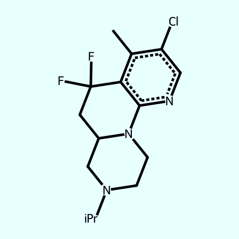 Cc1c(Cl)cnc2c1C(F)(F)CC1CN(C(C)C)CCN21